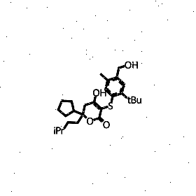 Cc1cc(SC2=C(O)CC(CCC(C)C)(C3CCCC3)OC2=O)c(C(C)(C)C)cc1CO